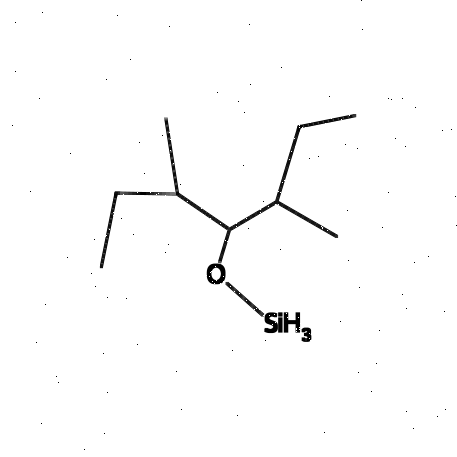 CCC(C)C(O[SiH3])C(C)CC